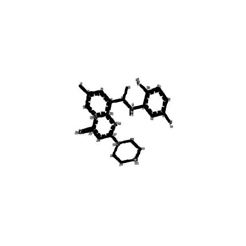 Cc1cc(C(C)Nc2cc(F)ccc2F)c2nc(N3CCOCC3)cc(=O)n2c1